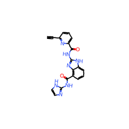 C#Cc1cccc(C(=O)Nc2nc3c(C(=O)Nc4ncc[nH]4)cccc3[nH]2)n1